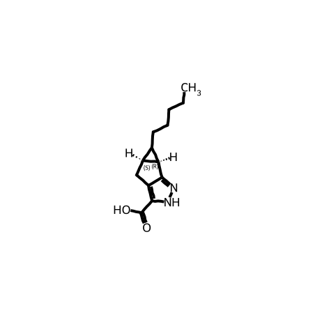 CCCCCC1[C@H]2c3n[nH]c(C(=O)O)c3C[C@@H]12